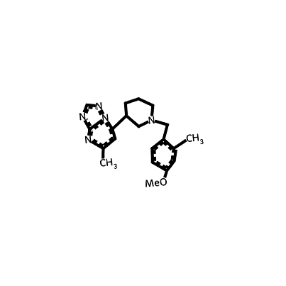 COc1ccc(CN2CCCC(c3cc(C)nc4ncnn34)C2)c(C)c1